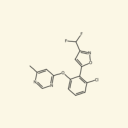 Cc1cc(Oc2cccc(Cl)c2-c2cc(C(F)F)no2)ncn1